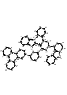 c1cc(-c2ccc3c4ccccc4c4ccccc4c3c2)cc(-c2nc(-c3cccc4oc5ccccc5c34)nc3c4ccccc4n4c5ccccc5nc4c23)c1